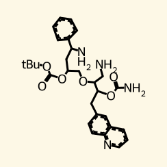 CC(C)(C)OC(=O)OC(COC(CN)C(Cc1ccc2ncccc2c1)OC(N)=O)CC(N)c1ccccc1